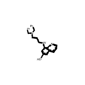 CC(C)CN(CCCNc1cc(O)cc2cccnc12)CC(C)C